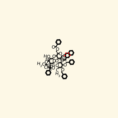 C[C@@H]1OC(O[C@@H]2[C@@H](O)[C@H](OCc3ccccc3)O[C@H](COC(=O)c3ccccc3)[C@H]2O[C@@H]2O[C@H](COC(=O)c3ccccc3)[C@@H]3OC(C)(C)O[C@@H]3[C@H]2O)[C@@H](OCc2ccccc2)[C@H](OCc2ccccc2)[C@@H]1OCc1ccccc1